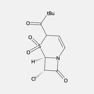 CC(C)(C)C(=O)C1C=CN2C(=O)[C@H](Cl)[C@H]2S1(=O)=O